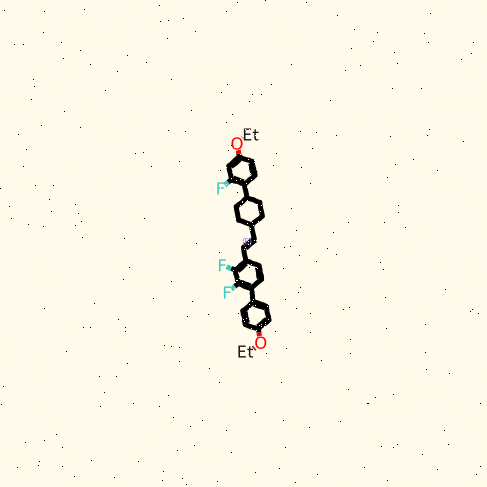 CCOc1ccc(-c2ccc(/C=C/C3CCC(c4ccc(OCC)cc4F)CC3)c(F)c2F)cc1